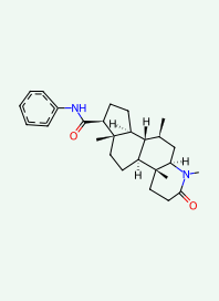 C[C@H]1C[C@H]2N(C)C(=O)CC[C@]2(C)[C@H]2CC[C@]3(C)[C@@H](C(=O)Nc4ccccc4)CC[C@H]3[C@H]12